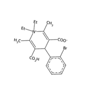 CC[N+]1(CC)C(C)=C(C(=O)[O-])C(c2ccccc2Br)C(C(=O)O)=C1C